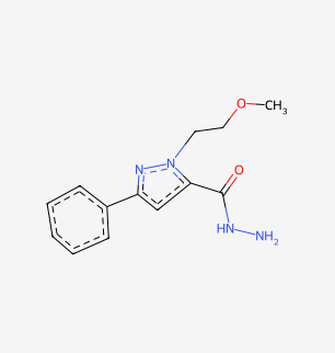 COCCn1nc(-c2ccccc2)cc1C(=O)NN